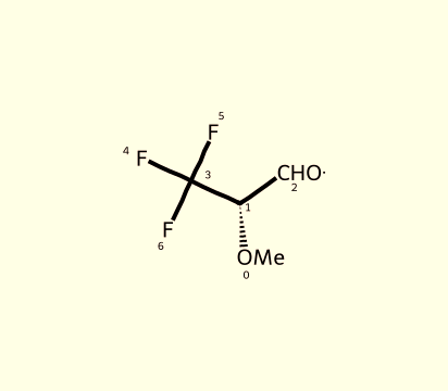 CO[C@@H]([C]=O)C(F)(F)F